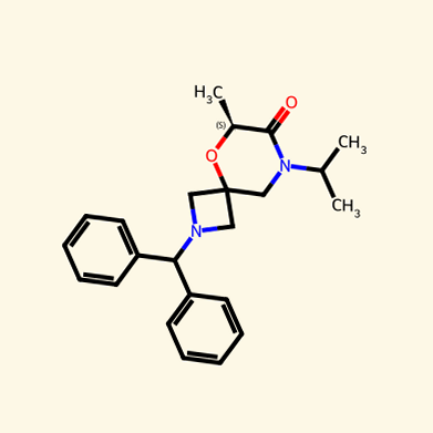 CC(C)N1CC2(CN(C(c3ccccc3)c3ccccc3)C2)O[C@@H](C)C1=O